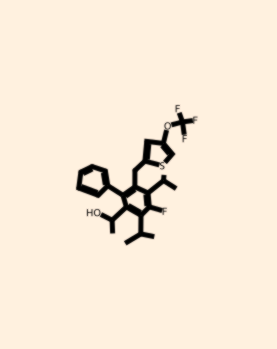 CC(C)c1c(F)c(C(C)C)c(C(C)O)c(-c2ccccc2)c1Cc1cc(OC(F)(F)F)cs1